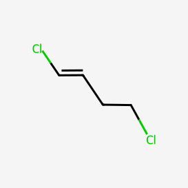 ClC=CCCCl